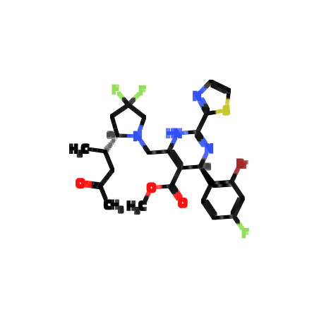 COC(=O)C1=C(CN2CC(F)(F)C[C@H]2C(C)CC(C)=O)NC(c2nccs2)=N[C@H]1c1ccc(F)cc1Br